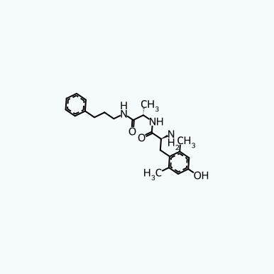 Cc1cc(O)cc(C)c1C[C@H](N)C(=O)N[C@@H](C)C(=O)NCCCc1ccccc1